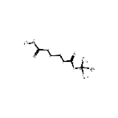 COC(=O)CCCCC(=O)OC(C)(C)C